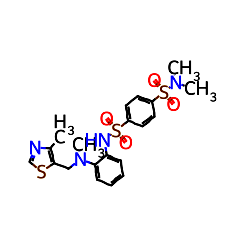 Cc1ncsc1CN(C)c1ccccc1NS(=O)(=O)c1ccc(S(=O)(=O)N(C)C)cc1